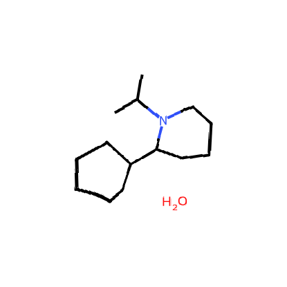 CC(C)N1CCCCC1C1CCCCC1.O